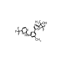 Cc1cc(Nc2nccc(C(F)(F)F)n2)cc(-c2cnc(C(C)(O)C(F)(F)F)s2)c1